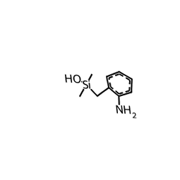 C[Si](C)(O)Cc1ccccc1N